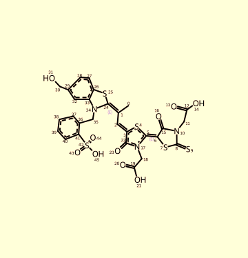 C/C(C=c1s/c(=C2/SC(=S)N(CC(=O)O)C2=O)n(CC(=O)O)c1=O)=C1\Sc2ccc(CO)cc2N1Cc1ccccc1S(=O)(=O)O